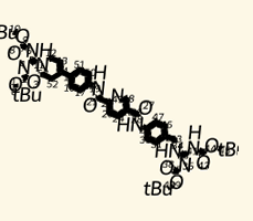 CC(C)(C)OC(=O)/N=C(/NC(=O)OC(C)(C)C)N1CC=C(c2ccc(NC(=O)c3ccc(C(=O)Nc4ccc(CN/C(=N\C(=O)OC(C)(C)C)NC(=O)OC(C)(C)C)cc4)cn3)cc2)CC1